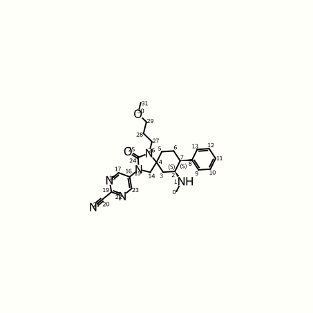 CN[C@H]1CC2(CC[C@H]1c1ccccc1)CN(c1cnc(C#N)nc1)C(=O)N2CCCOC